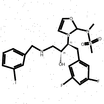 CN(C1OC=CN1[C@@H](Cc1cc(F)cc(F)c1)[C@H](O)CNCc1cccc(I)c1)S(C)(=O)=O